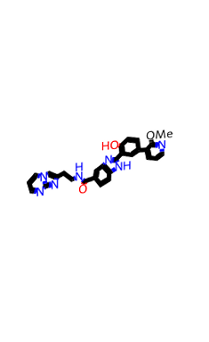 COc1ncccc1-c1ccc(O)c(-c2nc3cc(C(=O)NCCc4cn5cccnc5n4)ccc3[nH]2)c1